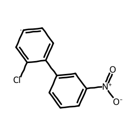 O=[N+]([O-])c1cccc(-c2cc[c]cc2Cl)c1